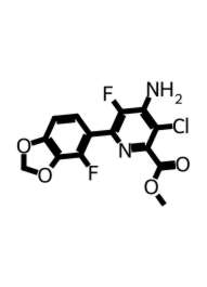 COC(=O)c1nc(-c2ccc3c(c2F)OCO3)c(F)c(N)c1Cl